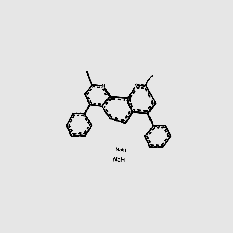 Cc1cc(-c2ccccc2)c2ccc3c(-c4ccccc4)cc(C)nc3c2n1.[NaH].[NaH]